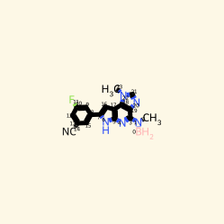 BN(C)c1nc2[nH]c(-c3cc(F)cc(C#N)c3)cc2c2c1ncn2C